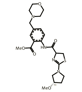 COC(=O)c1cc(CN2CCOCC2)ccc1NC(=O)C1CSC(N2CC[C@H](OC)C2)=N1